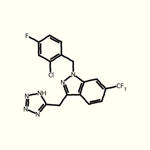 Fc1ccc(Cn2nc(Cc3nnn[nH]3)c3ccc(C(F)(F)F)cc32)c(Cl)c1